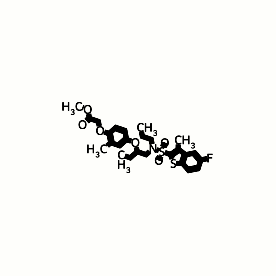 CCCN(CC(CC)Oc1ccc(OCC(=O)OC)c(C)c1)S(=O)(=O)c1sc2ccc(F)cc2c1C